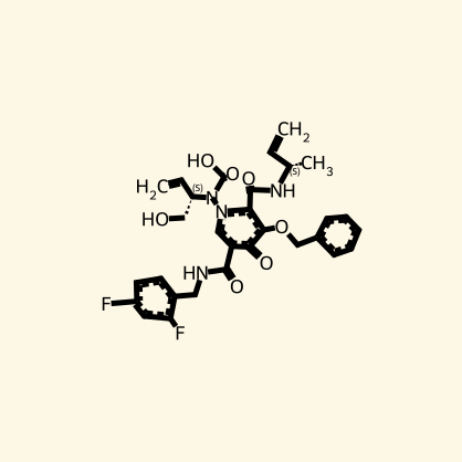 C=C[C@H](C)NC(=O)c1c(OCc2ccccc2)c(=O)c(C(=O)NCc2ccc(F)cc2F)cn1N(C(=O)O)[C@@H](C=C)CO